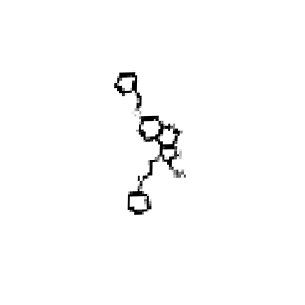 CCCCc1nc2cnc3cc(OCc4ccccc4)ccc3c2n1CCOc1ccccc1